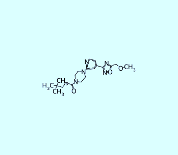 COCc1nc(-c2ccnc(N3CCN(C(=O)CCC(C)(C)C)CC3)c2)no1